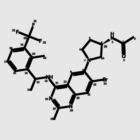 CC(=O)N[C@H]1CCN(c2cc3c(NC(C)c4cccc(C(F)(F)F)c4C)nc(C)nc3cc2Br)C1